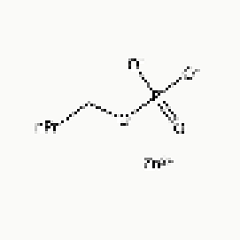 CCCCOP(=O)([O-])[O-].[Zn+2]